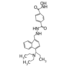 CCC(c1ccc(CNNC(=O)c2ccc(C(=O)NO)cc2)c2ccccc12)N(CC)CC